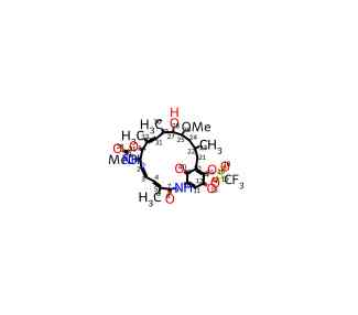 COC1/C=C\C=C(/C)C(=O)NC2=CC(=O)C(OS(=O)(=O)C(F)(F)F)=C(CC(C)CC(OC)C(O)C(C)/C=C(\C)C1OC(N)=O)C2=O